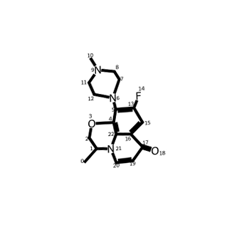 CC1COc2c(N3CCN(C)CC3)c(F)cc3c(=O)ccn1c23